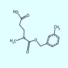 Cc1cccc(COC(=O)N(C)CCC(=O)O)c1